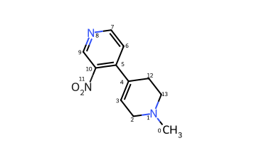 CN1CC=C(c2ccncc2[N+](=O)[O-])CC1